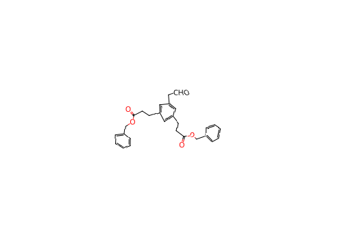 O=CCc1cc(CCC(=O)OCc2ccccc2)cc(CCC(=O)OCc2ccccc2)c1